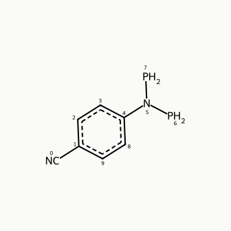 N#Cc1ccc(N(P)P)cc1